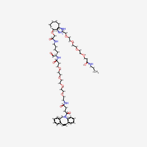 CCCNC(=O)CCOCCOCCOCCOCCN/C1=C(\N)C(OCC(=O)NCCCC[C@H](C=O)NC(=O)CCOCCOCCOCCOCCNC(=O)CCC(=O)N2Cc3ccccc3C#Cc3ccccc32)CCCCC1